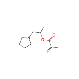 C=C(C)C(=O)OC(C)CN1CCCC1